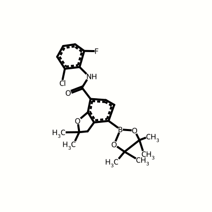 CC1(C)Cc2c(B3OC(C)(C)C(C)(C)O3)ccc(C(=O)Nc3c(F)cccc3Cl)c2O1